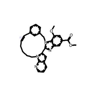 COC(=O)c1cc(OC)c2c(c1)nc1n2Cc2cccc(c2)/C=C\CCCCn2c-1cc1cccnc12